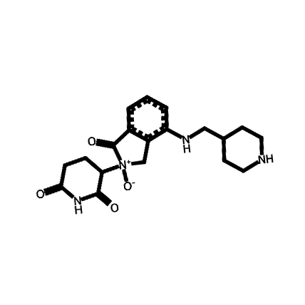 O=C1CCC([N+]2([O-])Cc3c(NCC4CCNCC4)cccc3C2=O)C(=O)N1